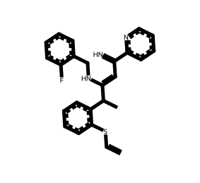 C=CSc1ccccc1C(C)/C(=C/C(=N)c1ccccn1)NCc1ccccc1F